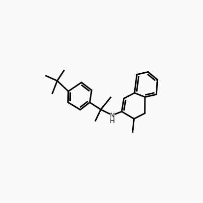 CC1Cc2ccccc2C=C1NC(C)(C)c1ccc(C(C)(C)C)cc1